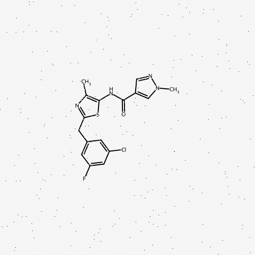 Cc1nc(Cc2cc(F)cc(Cl)c2)sc1NC(=O)c1cnn(C)c1